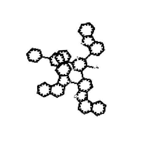 CCCc1c(-c2ccc3c(oc4ccc5ccccc5c43)c2-n2c3cc4ccccc4cc3c3c4ccccc4ccc32)nc(-c2ccc(-c3ccccc3)cc2)nc1-c1cccc2c1sc1ccccc12